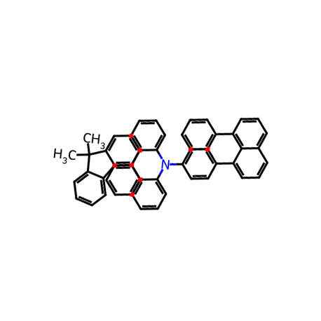 CC1(C)c2ccccc2-c2c(-c3ccccc3N(c3ccc(-c4cccc5cccc(-c6ccccc6)c45)cc3)c3ccccc3-c3ccccc3)cccc21